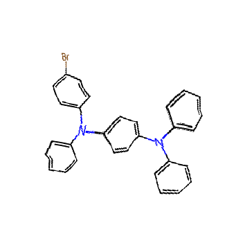 Brc1ccc(N(c2ccccc2)c2ccc(N(c3ccccc3)c3ccccc3)cc2)cc1